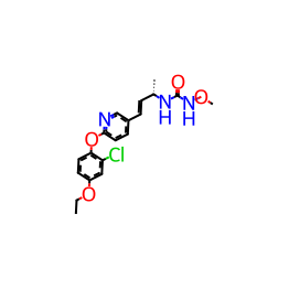 CCOc1ccc(Oc2ccc(/C=C/[C@H](C)NC(=O)NOC)cn2)c(Cl)c1